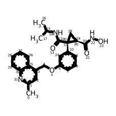 Cc1cc(COc2cccc([C@@]3(C(=O)NC(C)C)C[C@H]3C(=O)NO)c2)c2ccccc2n1